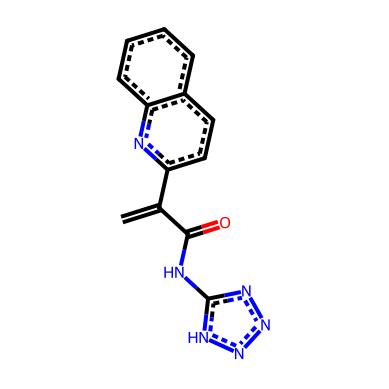 C=C(C(=O)Nc1nnn[nH]1)c1ccc2ccccc2n1